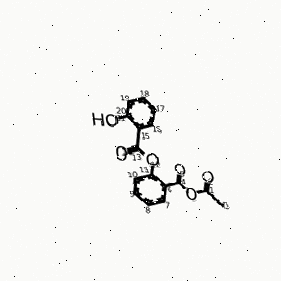 CC(=O)OC(=O)c1ccccc1OC(=O)c1ccccc1O